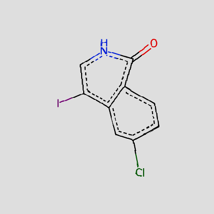 O=c1[nH]cc(I)c2cc(Cl)ccc12